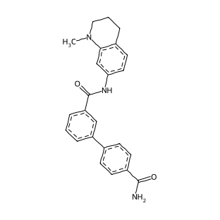 CN1CCCc2ccc(NC(=O)c3cccc(-c4ccc(C(N)=O)cc4)c3)cc21